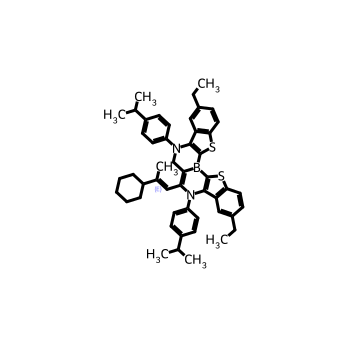 CCc1ccc2sc3c(c2c1)N(c1ccc(C(C)C)cc1)CC1=C(/C=C(\C)C2CCCCC2)N(c2ccc(C(C)C)cc2)c2c(sc4ccc(CC)cc24)B13